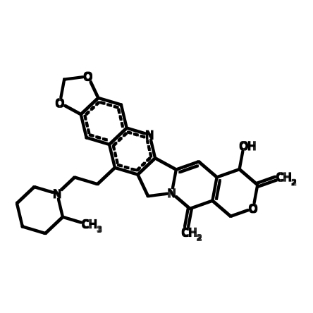 C=C1OCC2=C(C=C3c4nc5cc6c(cc5c(CCN5CCCCC5C)c4CN3C2=C)OCO6)C1O